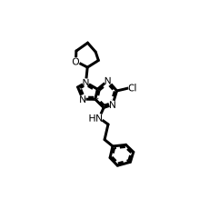 Clc1nc(NCCc2ccccc2)c2ncn(C3CCCCO3)c2n1